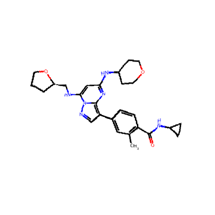 Cc1cc(-c2cnn3c(NC[C@H]4CCCO4)cc(NC4CCOCC4)nc23)ccc1C(=O)NC1CC1